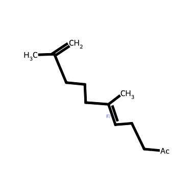 C=C(C)CCC/C(C)=C/CCC(C)=O